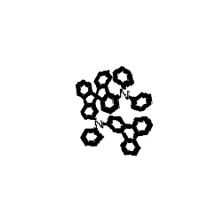 c1ccc(N(c2ccc3c(c2)C2(c4ccccc4-3)c3ccccc3-c3c(N(c4ccccc4)c4ccccc4)cccc32)c2ccc3c4ccccc4c4ccccc4c3c2)cc1